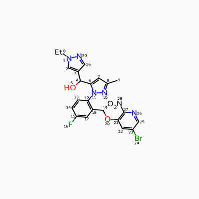 CCn1cc(C(O)c2cc(C)nn2-c2ccc(F)cc2COc2cc(Br)cnc2[N+](=O)[O-])cn1